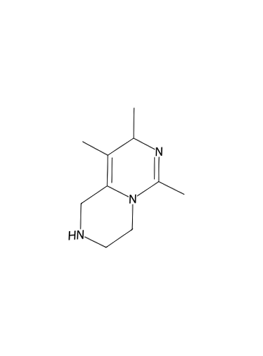 CC1=NC(C)C(C)=C2CNCCN12